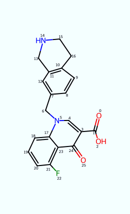 O=C(O)c1cn(Cc2ccc3c(c2)CNCC3)c2cccc(F)c2c1=O